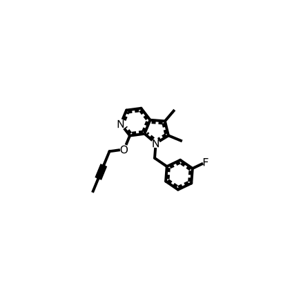 CC#CCOc1nccc2c(C)c(C)n(Cc3cccc(F)c3)c12